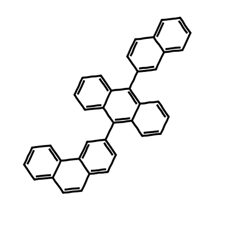 c1ccc2cc(-c3c4ccccc4c(-c4ccc5ccc6ccccc6c5c4)c4ccccc34)ccc2c1